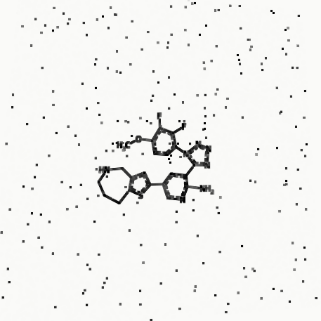 COc1ccc(-n2nnnc2-c2cc(-c3cc4c(s3)CCCNC4)cnc2N)c(F)c1F